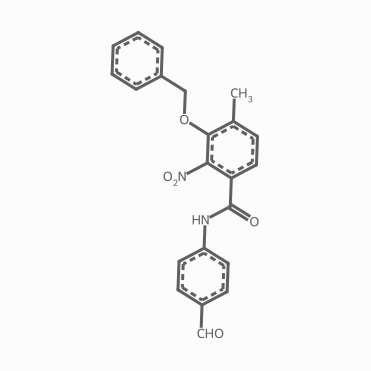 Cc1ccc(C(=O)Nc2ccc(C=O)cc2)c([N+](=O)[O-])c1OCc1ccccc1